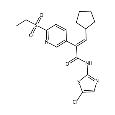 CCS(=O)(=O)c1ccc(/C(=C\C2CCCC2)C(=O)Nc2ncc(Cl)s2)cn1